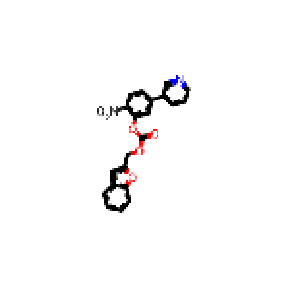 O=C(OCc1cc2ccccc2o1)Oc1cc(-c2cccnc2)ccc1[N+](=O)[O-]